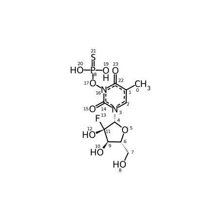 Cc1cn([C@@H]2O[C@H](CO)[C@@H](O)[C@]2(O)F)c(=O)n(OP(O)(O)=S)c1=O